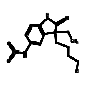 CCC1(CCCCCl)C(=O)Nc2ccc(N[SH](=O)=O)cc21